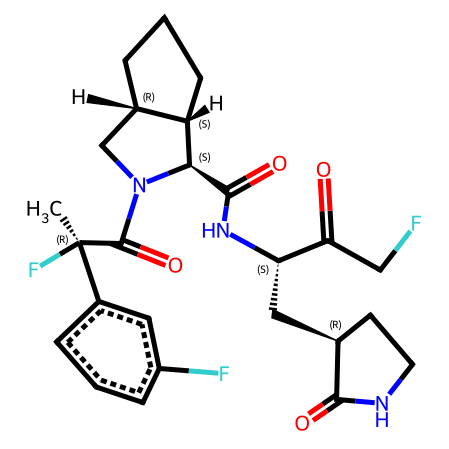 C[C@](F)(C(=O)N1C[C@@H]2CCC[C@@H]2[C@H]1C(=O)N[C@@H](C[C@H]1CCNC1=O)C(=O)CF)c1cccc(F)c1